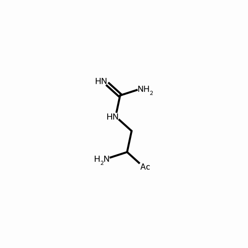 CC(=O)C(N)CNC(=N)N